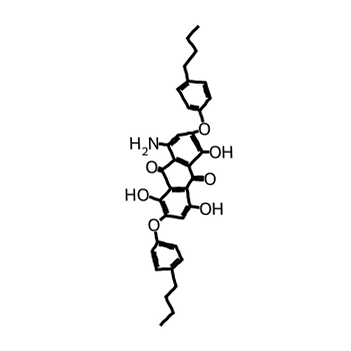 CCCCc1ccc(Oc2cc(N)c3c(c2O)C(=O)c2c(O)cc(Oc4ccc(CCCC)cc4)c(O)c2C3=O)cc1